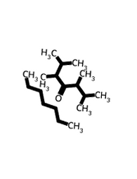 CC(C)C(C)C(=O)C(C)C(C)C.CCCCCCC